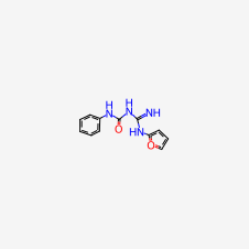 N=C(NC(=O)Nc1ccccc1)Nc1ccco1